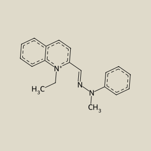 CC[n+]1c(C=NN(C)c2ccccc2)ccc2ccccc21